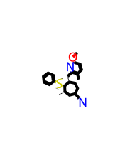 COc1ccc(C)c(C[C@@H]2CCC(C#N)C[C@H](C)[C@H]2S(C)(C)c2ccccc2)n1